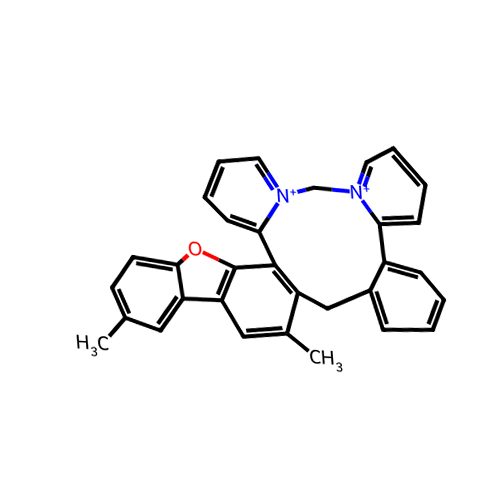 Cc1ccc2oc3c4c(c(C)cc3c2c1)Cc1ccccc1-c1cccc[n+]1C[n+]1ccccc1-4